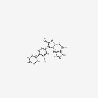 CN(C[C@H]1CN(c2ccc(C3=CCOCC3)c(F)c2)C(=O)O1)c1ncc[nH]1